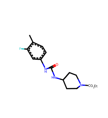 CCOC(=O)N1CCC(NC(=O)Nc2ccc(C)c(F)c2)CC1